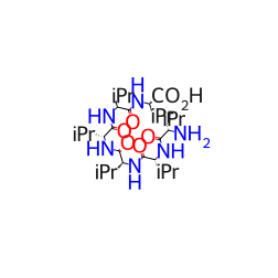 CC(C)[C@H](N)C(=O)N[C@@H](C(=O)N[C@H](C(=O)N[C@@H](C(=O)N[C@H](C(=O)N[C@@H](C(=O)O)C(C)C)C(C)C)C(C)C)C(C)C)C(C)C